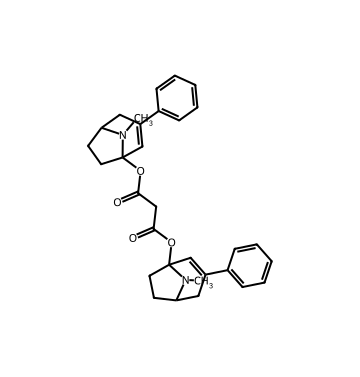 CN1C2CCC1(OC(=O)CC(=O)OC13C=C(c4ccccc4)CC(CC1)N3C)C=C(c1ccccc1)C2